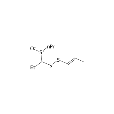 CC=CSSC(CC)[S+]([O-])CCC